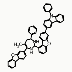 CC1=C(c2ccc3c(c2)oc2ccccc23)NC(c2cccc3oc4cc(-c5ccc6c(c5)c5ccccc5n6-c5ccccc5)ccc4c23)NC(c2ccccc2)C1